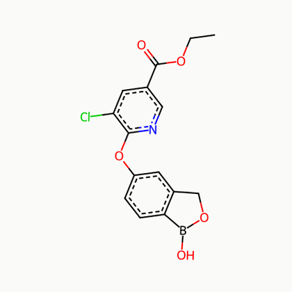 CCOC(=O)c1cnc(Oc2ccc3c(c2)COB3O)c(Cl)c1